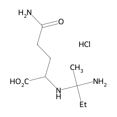 CCC(C)(N)NC(CCC(N)=O)C(=O)O.Cl